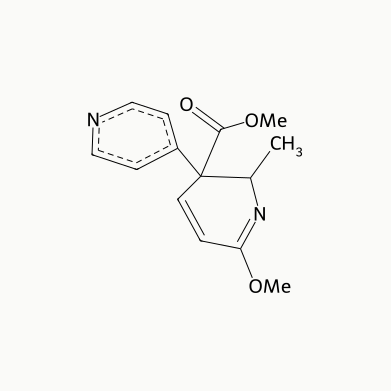 COC(=O)C1(c2ccncc2)C=CC(OC)=NC1C